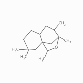 CC1CC2CCC(C)(C)CC23CC1(C)OC3C